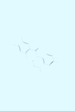 CCOC(=O)N1c2cc(C)c(C)cc2N(C(=O)c2cc(F)c(Cl)cc2Cl)CC1CC